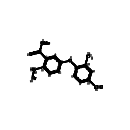 COC(=O)c1cc(Oc2ccc(C=O)cc2C(F)(F)F)ccc1NC(C)C